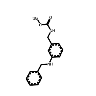 CC(C)(C)OC(=O)NCc1cccc(NCc2ccccc2)c1